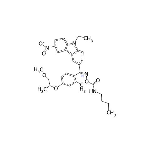 CCCCNC(=O)O/N=C(/c1ccc2c(c1)c1cc([N+](=O)[O-])ccc1n2CC)c1ccc(OC(C)COC)cc1C